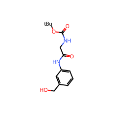 CC(C)(C)OC(=O)NCC(=O)Nc1cccc(CO)c1